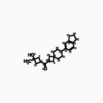 CC1(O)CC(C(=O)N2CC3(CCC(c4ccc5c(c4)CCC5)CC3)C2)C1